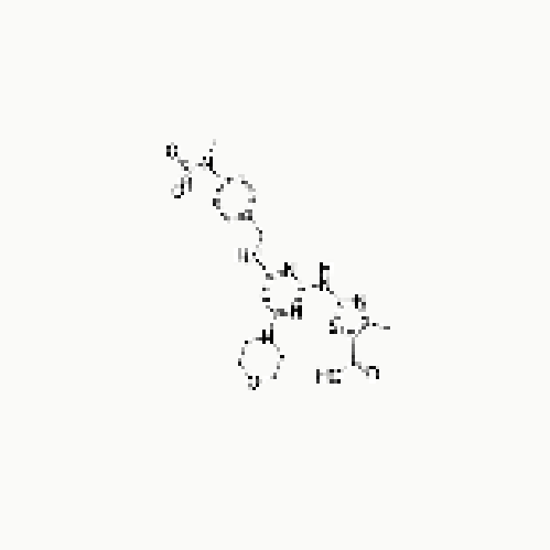 Cc1nc(Nc2nc(NCc3ccc(N(C)[SH](=O)=O)cc3)cc(N3CCOCC3)n2)sc1C(=O)O